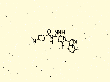 Cc1cccc2c(-c3nc4[nH]nc(NC(=O)c5ccc(N(C)C)cc5)c4cc3F)cnn12